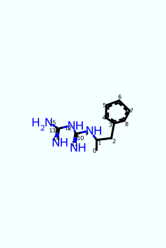 CC(Cc1ccccc1)NC(=N)NC(=N)N